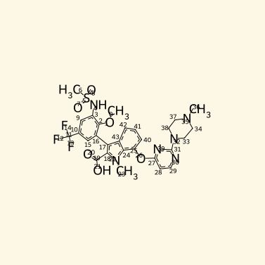 COc1c(NS(C)(=O)=O)cc(C(F)(F)F)cc1-c1c(C(=O)O)n(C)c2c(Oc3ccnc(N4CCN(C)CC4)n3)cccc12